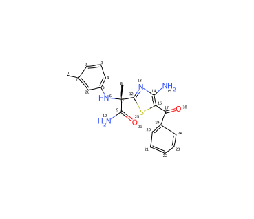 Cc1cccc(N[C@@](C)(C(N)=O)c2nc(N)c(C(=O)c3ccccc3)s2)c1